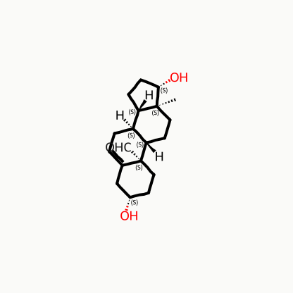 C[C@]12CC[C@H]3[C@@H](CC=C4C[C@@H](O)CC[C@@]43C=O)[C@@H]1CC[C@@H]2O